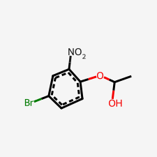 CC(O)Oc1ccc(Br)cc1[N+](=O)[O-]